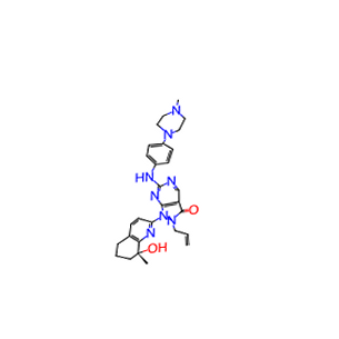 C=CCn1c(=O)c2cnc(Nc3ccc(N4CCN(C)CC4)cc3)nc2n1-c1ccc2c(n1)[C@](C)(O)CCC2